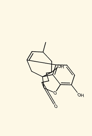 CC1C=C2CC34c5c2ccc(O)c5OC3C(=O)CCC4(O)C1